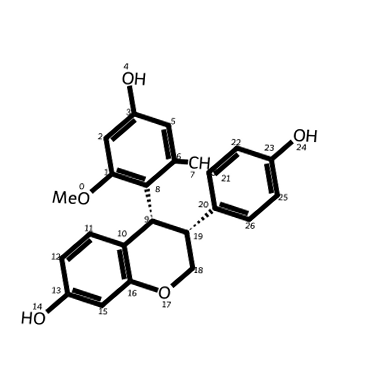 COc1cc(O)cc(C)c1[C@H]1c2ccc(O)cc2OC[C@H]1c1ccc(O)cc1